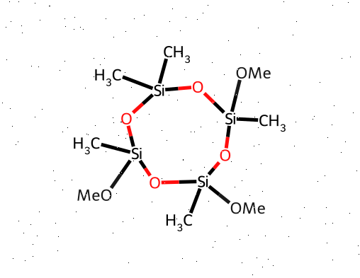 CO[Si]1(C)O[Si](C)(C)O[Si](C)(OC)O[Si](C)(OC)O1